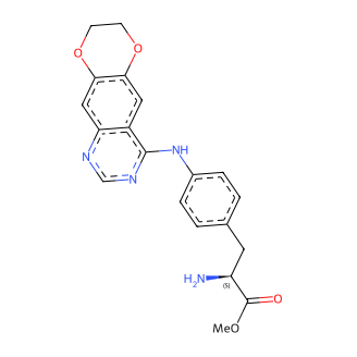 COC(=O)[C@@H](N)Cc1ccc(Nc2ncnc3cc4c(cc23)OCCO4)cc1